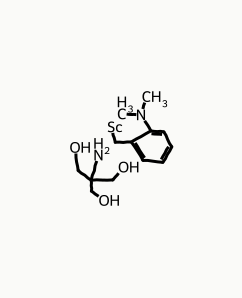 CN(C)c1ccccc1[CH2][Sc].NC(CO)(CO)CO